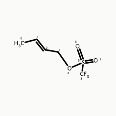 CC=CCOS(=O)(=O)C(F)(F)F